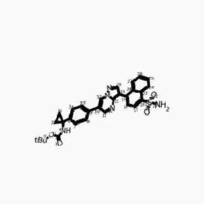 CC(C)(C)OC(=O)NC1(c2ccc(-c3cnc4c(-c5ccc(S(N)(=O)=O)c6ccccc56)cnn4c3)cc2)CC1